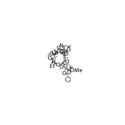 C=C1[C@@H](CC)OC(=O)[C@H](C)[C@@H](OC2C[C@@](C)(OC)[C@@H](OC(=O)c3ccccc3)[C@H](C)O2)[C@H](C)[C@@H](OC2O[C@H](C)C[C@H](N(C)C)[C@H]2OC(=O)c2ccccc2)[C@@](C)(O)C[C@@H](C)[C@@H]2OC(C)(C)O[C@@H]1C2(C)C